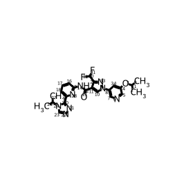 CC(C)Oc1cncc(-n2cc(C(=O)Nc3cccc(-c4nncn4C(C)C)n3)c(C(F)F)n2)c1